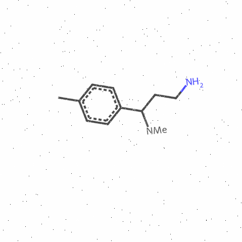 CNC(CCN)c1ccc(C)cc1